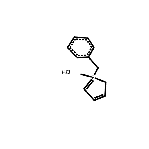 CP1(Cc2ccccc2)=CC=CC1.Cl